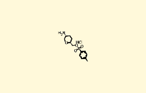 Cc1ccc(S(=O)(=O)OC[C@@H]2CC[C@@H](N)CO2)cc1.Cl